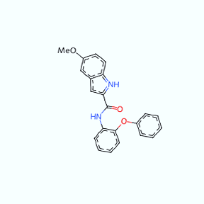 COc1ccc2[nH]c(C(=O)Nc3ccccc3Oc3ccccc3)cc2c1